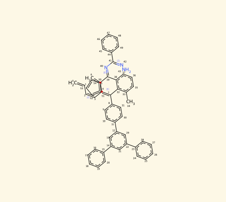 C=C/C=C\C(C=C)=C(/c1ccc(-c2cc(-c3ccccc3)cc(-c3ccccc3)c2)cc1)c1c(C)cccc1/C(=N\C(=N/N)c1ccccc1)C1=C=CC=C1